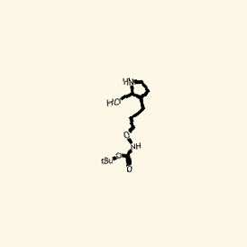 CC(C)(C)OC(=O)NOCCCC1CCNC1O